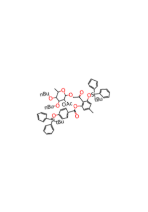 CCCCOC1C(C)OC(OCC(=O)c2c(OC(=O)c3ccc(O[Si](c4ccccc4)(c4ccccc4)C(C)(C)C)cc3)cc(C)cc2O[Si](c2ccccc2)(c2ccccc2)C(C)(C)C)C(OC(C)=O)C1OCCCC